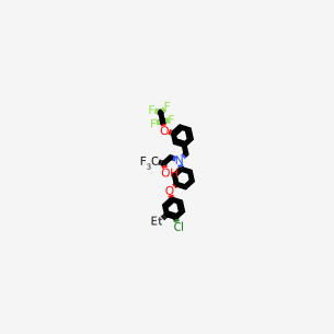 CCc1cc(OC2CCCC(N(Cc3cccc(OC(F)(F)C(F)F)c3)CC(O)C(F)(F)F)C2)ccc1Cl